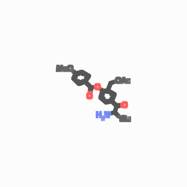 COc1ccc(C(=O)Oc2ccc(C(=O)C(N)C(C)(C)C)cc2COC(C)=O)cc1